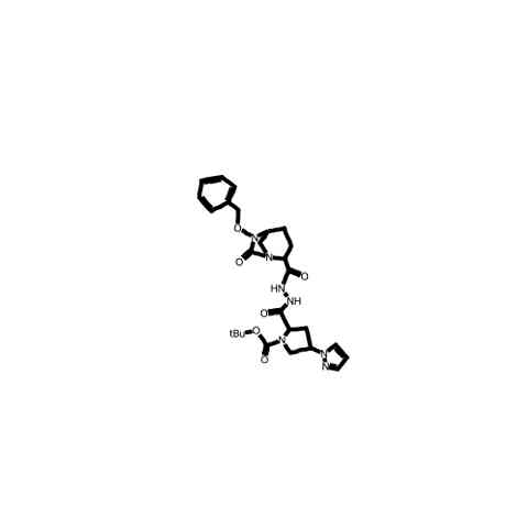 CC(C)(C)OC(=O)N1CC(n2cccn2)CC1C(=O)NNC(=O)C1CCC2CN1C(=O)N2OCc1ccccc1